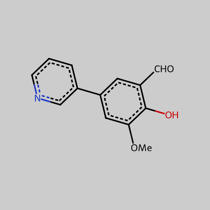 COc1cc(-c2cccnc2)cc(C=O)c1O